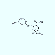 N#Cc1cccc(OCC2S[C@@H]3CC(=O)N3C=C2C(=O)O)c1